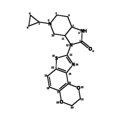 O=C1NC2CCN(C3CC3)CC2N1c1nc2c3c(ccc2s1)OCCO3